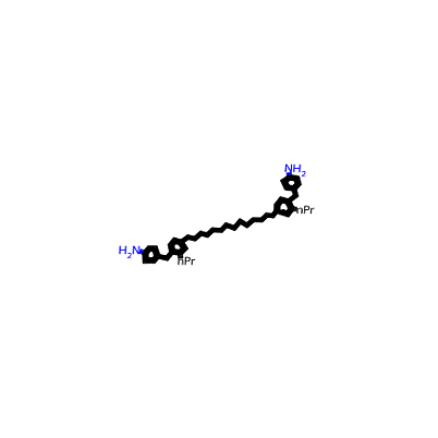 CCCc1cc(CCCCCCCCCCCCCCc2ccc(Cc3ccc(N)cc3)c(CCC)c2)ccc1Cc1ccc(N)cc1